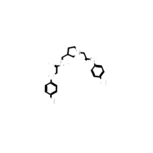 O=C(COc1ccc(Cl)cc1)NCC1CCN(CC(=O)Nc2ccc(Cl)cc2)C1